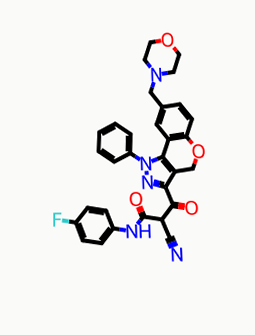 N#CC(C(=O)Nc1ccc(F)cc1)C(=O)c1nn(-c2ccccc2)c2c1COc1ccc(CN3CCOCC3)cc1-2